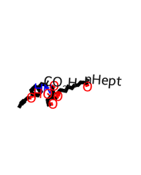 CC#CCOc1ccc(C[C@H](NC(=O)[C@@H](C=CCCCCCCC(=O)CCCCCCC)[C@@]2(O)CCOC2=O)C(=O)O)cc1